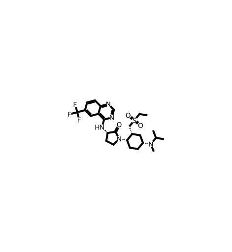 CCS(=O)(=O)C[C@@H]1C[C@H](N(C)C(C)C)CC[C@@H]1N1CC[C@H](Nc2ncnc3ccc(C(F)(F)F)cc23)C1=O